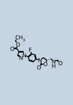 CCOC(=O)c1cnn(-c2ccc(N3C[C@H](CNC=O)OC3=O)cc2F)c1